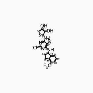 O[C@@H]1[C@H](O)CS[C@H]1n1cnc2c(N[C@@H]3CCc4c3cccc4C(F)(F)F)nc(Cl)nc21